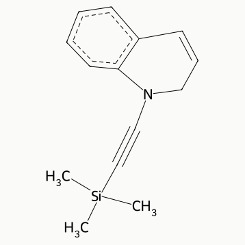 C[Si](C)(C)C#CN1CC=Cc2ccccc21